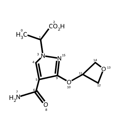 CC(C(=O)O)n1cc(C(N)=O)c(OC2COC2)n1